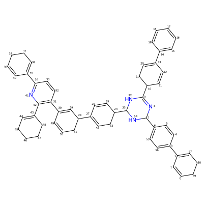 C1=CC(c2ccc(C3N=C(C4C=CC(c5ccccc5)=CC4)NC(C4C=CC(C5C=C(c6ccc(C7=CCCC=C7)nc6C6=CCCCC6)C=CC5)=CC4)N3)cc2)=CCC1